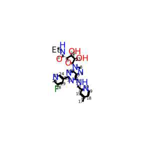 CCNC(=O)[C@H]1O[C@@H](n2cnc3c(NCc4cc(C)ccn4)nc(-c4cncc(F)c4)nc32)[C@H](O)[C@@H]1O